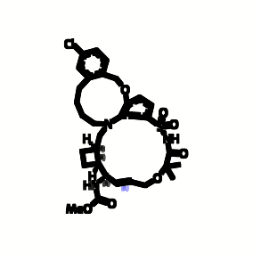 COC(=O)N[C@@H]1/C=C/COC(C)(C)C(=O)NS(=O)(=O)c2ccc3c(c2)N(CCCCc2cc(Cl)ccc2CO3)C[C@@H]2CC[C@H]21